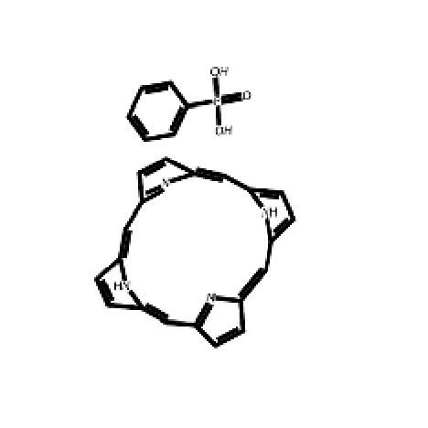 C1=Cc2cc3ccc(cc4nc(cc5ccc(cc1n2)[nH]5)C=C4)[nH]3.O=P(O)(O)c1ccccc1